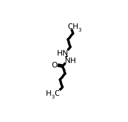 CCCCNNC(=O)CCCC